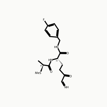 CS[C@@H](C)C(=O)N[C@@H](CCC(=O)C=N)C(=O)NCc1ccc(F)cc1